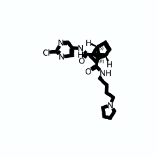 O=C(NCCCCN1CCCC1)[C@H]1[C@H](C(=O)Nc2cnc(Cl)nc2)[C@@H]2C=C[C@H]1C21CC1